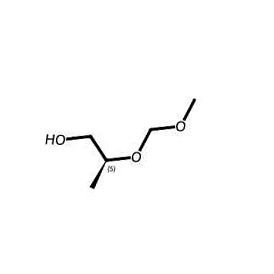 COCO[C@@H](C)CO